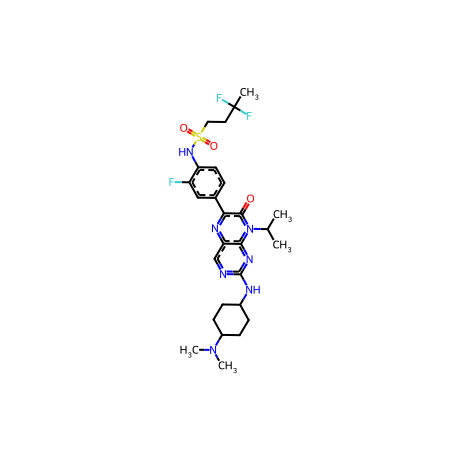 CC(C)n1c(=O)c(-c2ccc(NS(=O)(=O)CCC(C)(F)F)c(F)c2)nc2cnc(NC3CCC(N(C)C)CC3)nc21